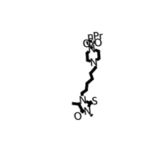 CCCS(=O)(=O)N1CCN(CCCCCCN2C(=S)N(C)C(=O)C2C)CC1